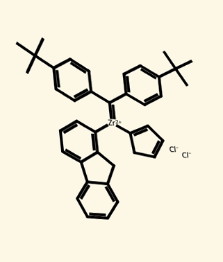 CC(C)(C)c1ccc([C](c2ccc(C(C)(C)C)cc2)=[Zr+2]([C]2=CC=CC2)[c]2cccc3c2Cc2ccccc2-3)cc1.[Cl-].[Cl-]